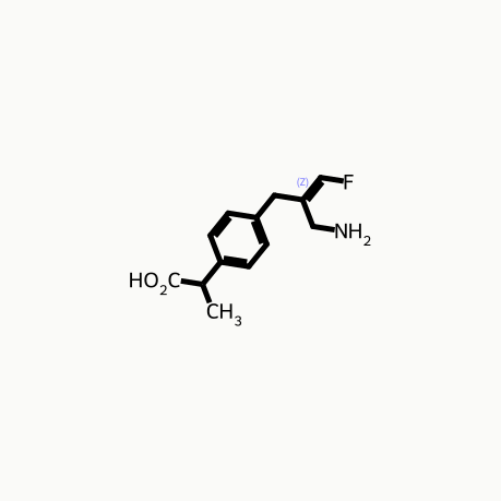 CC(C(=O)O)c1ccc(C/C(=C/F)CN)cc1